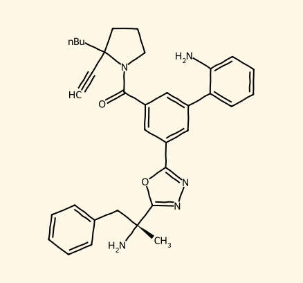 C#CC1(CCCC)CCCN1C(=O)c1cc(-c2nnc([C@](C)(N)Cc3ccccc3)o2)cc(-c2ccccc2N)c1